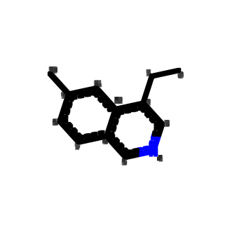 CCc1cncc2ccc(C)cc12